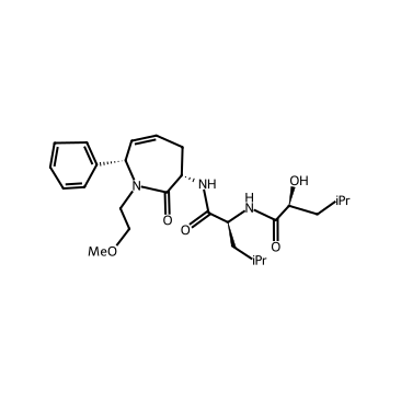 COCCN1C(=O)[C@@H](NC(=O)[C@H](CC(C)C)NC(=O)[C@@H](O)CC(C)C)CC=C[C@H]1c1ccccc1